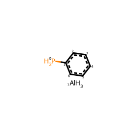 Pc1ccccc1.[AlH3]